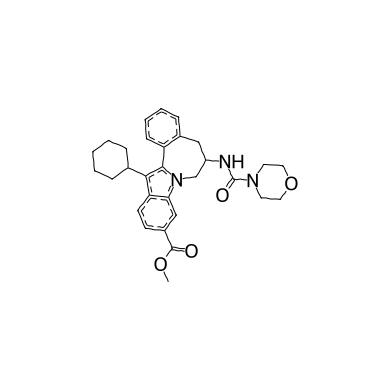 COC(=O)c1ccc2c(C3CCCCC3)c3n(c2c1)CC(NC(=O)N1CCOCC1)Cc1ccccc1-3